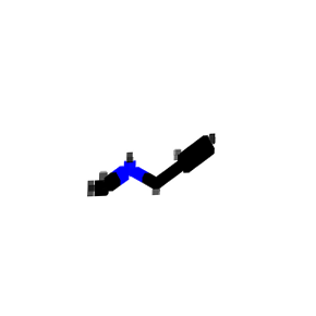 B=NCC#C